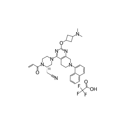 C=CC(=O)N1CCN(c2nc(OC3CC(N(C)C)C3)nc3c2CCN(c2cccc4ccccc24)C3)C[C@@H]1CC#N.O=C(O)C(F)(F)F